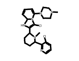 CN1CCN(C2=CC=CC3NC(C4CCCC(c5ncccc5Cl)N4C)=C(Cl)N23)CC1